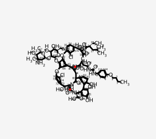 CCCCOc1ccc(NC(=O)NC(=O)C[C@@H]2CC(=O)[C@H](NC(=O)[C@H](CC)CC(C)C)[C@H](O)c3ccc(c(Cl)c3)Oc3cc4cc(c3O[C@@H]3O[C@H](CN)[C@@H](O)[C@H](O)[C@H]3O[C@H]3C[C@](C)(N)[C@H](O)[C@H](C)O3)Oc3ccc(cc3Cl)[C@@H](O)[C@@H]3NC(=O)[C@H](CC(=O)[C@@H]4NC2=O)c2ccc(O)c(c2)-c2c(O)cc(O)cc2[C@@H](C(=O)O)NC3=O)cc1